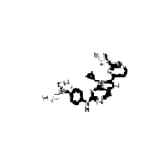 CN(C)c1ccc(Nc2ncc3nc(-c4ccnc(N)n4)n(C4CC4)c3n2)cc1